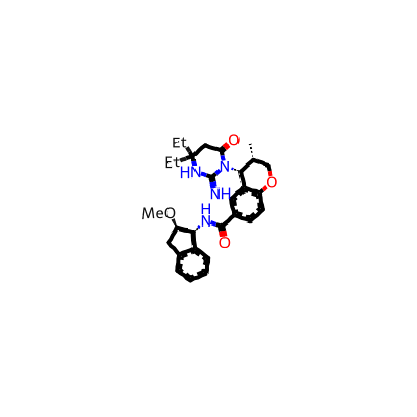 CCC1(CC)CC(=O)N([C@H]2c3cc(C(=O)N[C@@H]4c5ccccc5C[C@H]4OC)ccc3OC[C@H]2C)C(=N)N1